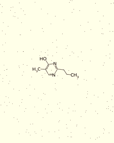 CCCc1ncc(C)c(O)n1